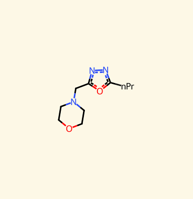 CCCc1nnc(CN2CCOCC2)o1